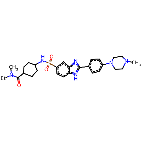 CCN(C)C(=O)C1CCC(NS(=O)(=O)c2ccc3[nH]c(-c4ccc(N5CCN(C)CC5)cc4)nc3c2)CC1